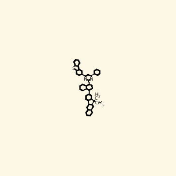 CC1(C)c2cc(-c3ccc(-c4nc(-c5ccccc5)cc(-c5ccc6sc7ccccc7c6c5)n4)c4ccccc34)ccc2-c2cc3ccccc3cc21